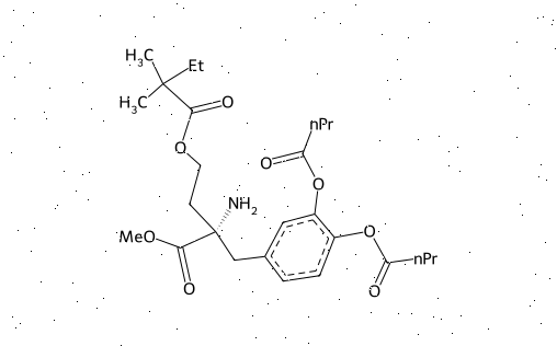 CCCC(=O)Oc1ccc(C[C@](N)(CCOC(=O)C(C)(C)CC)C(=O)OC)cc1OC(=O)CCC